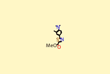 COC(=O)c1cnc(-c2ccc(N(C)C)c(C)c2)s1